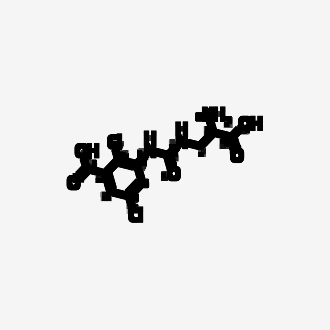 NC(CNC(=O)Nc1cc(Cl)cc(C(=O)O)c1Cl)C(=O)O